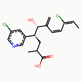 C=C(/C=C\C(Cl)=C/C)[C@@H](O)[C@@H](CC(C)C(=O)O)c1cncc(Cl)c1